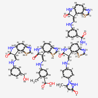 Cc1cc(=O)[nH]n1-c1ccc(NC=C2C(=O)Nc3ccc4ncsc4c32)cc1.Cc1cc(NC=C2C(=O)Nc3ccc4ncsc4c32)ccc1C(=O)O.NC(=O)c1cccc(NC=C2C(=O)Nc3ccc4ncsc4c32)c1.O=C1Nc2ccc3ncsc3c2C1=CNc1cccc(CO)c1